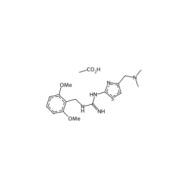 CC(=O)O.COc1cccc(OC)c1CNC(=N)Nc1nc(CN(C)C)cs1